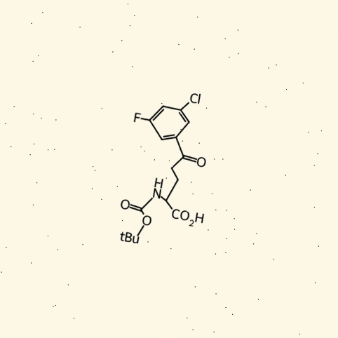 CC(C)(C)OC(=O)NC(CCC(=O)c1cc(F)cc(Cl)c1)C(=O)O